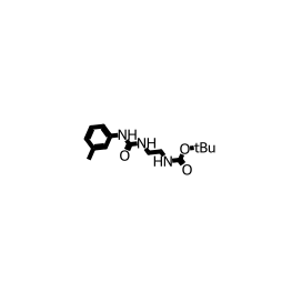 Cc1cccc(NC(=O)NCCNC(=O)OC(C)(C)C)c1